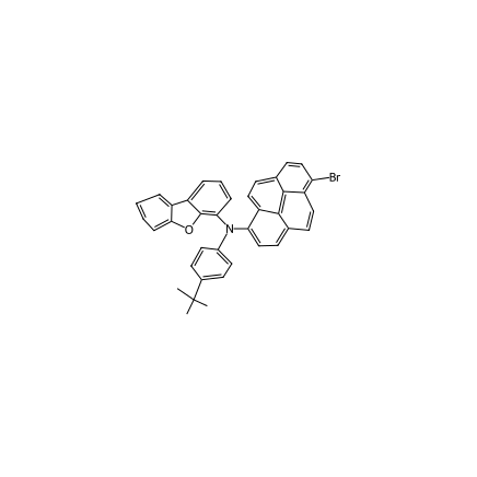 CC(C)(C)c1ccc(N(c2ccc3ccc4c(Br)ccc5ccc2c3c54)c2cccc3c2oc2ccccc23)cc1